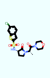 C[C@@H](C(=O)N1CCOCC1)N1CC[C@H](NS(=O)(=O)c2cc3ccc(Cl)cc3s2)C1=O